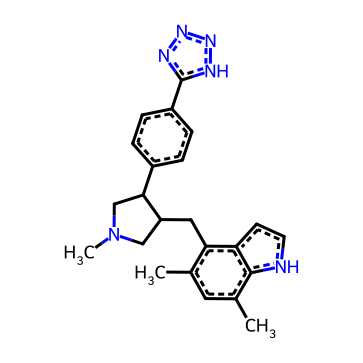 Cc1cc(C)c2[nH]ccc2c1CC1CN(C)CC1c1ccc(-c2nnn[nH]2)cc1